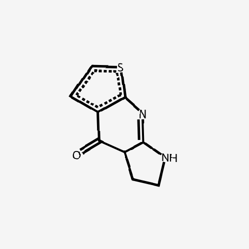 O=C1c2ccsc2N=C2NCCC12